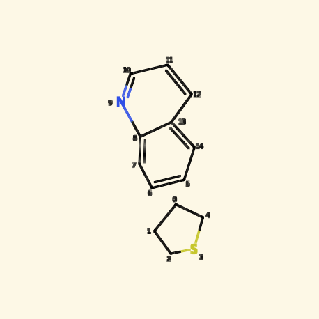 C1CCSC1.c1ccc2ncccc2c1